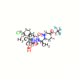 C[C@@H](NC(=O)C(Cc1ccc(Cl)cc1)N(C(=O)O)C(C)(C)C)c1ccc(OCC(F)(F)F)cn1